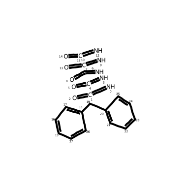 N=C=O.N=C=O.N=C=O.N=C=O.N=C=O.c1ccc(Cc2ccccc2)cc1